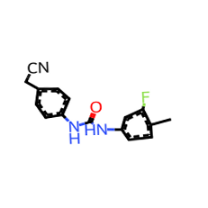 Cc1ccc(NC(=O)Nc2ccc(CC#N)cc2)cc1F